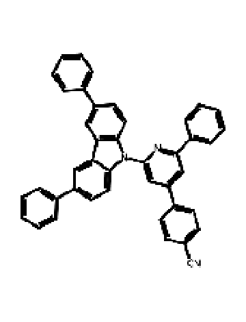 N#Cc1ccc(-c2cc(-c3ccccc3)nc(-n3c4ccc(-c5ccccc5)cc4c4cc(-c5ccccc5)ccc43)c2)cc1